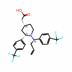 C=CC[C@H](c1ccc(C(F)(F)F)cc1)N1CC[C@@H](CC(=O)O)C[C@H]1c1ccc(C(F)(F)F)cc1